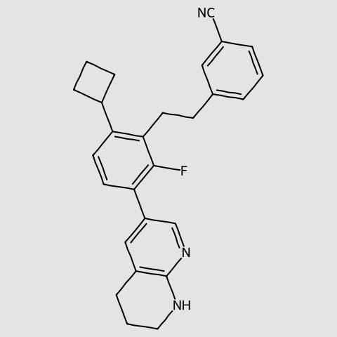 N#Cc1cccc(CCc2c(C3CCC3)ccc(-c3cnc4c(c3)CCCN4)c2F)c1